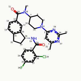 Cc1cc(N2CCC(N(C)C(=O)c3ccc4c(c3)[C@H](NC(=O)c3ccc(F)cc3Cl)CC4)CC2)nc(C)n1